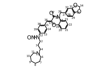 O=NN(CCCN1CCCCCC1)c1ccc(/C=C2\Oc3ccccc3N(Cc3ccc4c(c3)OCO4)C2=O)cc1